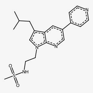 CC(C)Cc1cn(CCNS(C)(=O)=O)c2ncc(-c3ccncc3)cc12